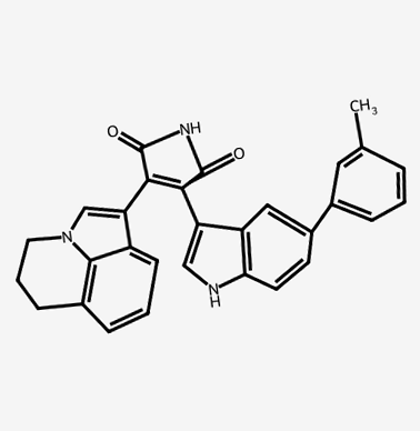 Cc1cccc(-c2ccc3[nH]cc(C4=C(c5cn6c7c(cccc57)CCC6)C(=O)NC4=O)c3c2)c1